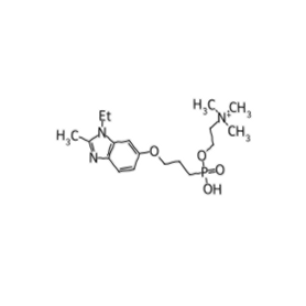 CCn1c(C)nc2ccc(OCCCP(=O)(O)OCC[N+](C)(C)C)cc21